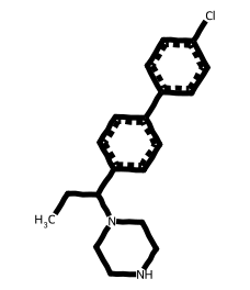 CCC(c1ccc(-c2ccc(Cl)cc2)cc1)N1CCNCC1